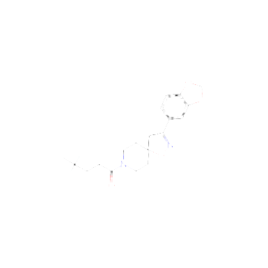 CC(F)(F)CCC(=O)N1CCC2(CC1)CC(c1ccc3c(c1)OCO3)=NO2